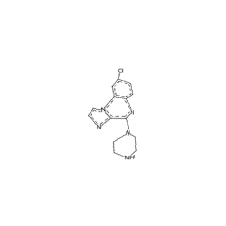 Clc1ccc2nc(N3CCNCC3)c3nccn3c2c1